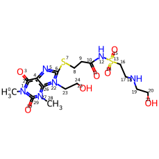 Cn1c(=O)c2nc(SCCC(=O)NS(=O)(=O)CCNCCO)n(CCO)c2n(C)c1=O